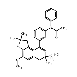 COc1cc2c(c3c1OC(C)(C)C3)C(c1cccc(N(C(C)=O)c3ccccc3)c1)=NC(C)(C)C2.Cl